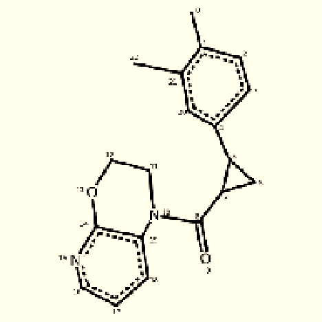 Cc1ccc(C2CC2C(=O)N2CCOc3ncccc32)cc1C